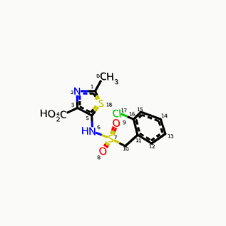 Cc1nc(C(=O)O)c(NS(=O)(=O)Cc2ccccc2Cl)s1